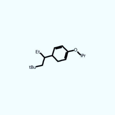 CCC(CC(C)(C)C)C1C=CC(OC(C)C)=CC1